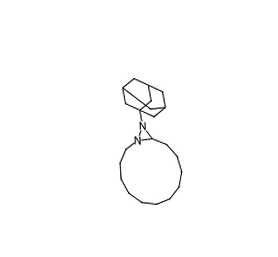 C1CCCCCC2N(CCCCC1)N2C12CC3CC(CC(C3)C1)C2